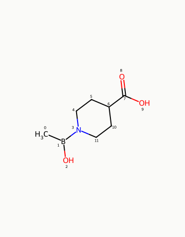 CB(O)N1CCC(C(=O)O)CC1